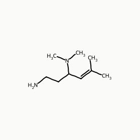 CC(C)=CC(CCN)N(C)C